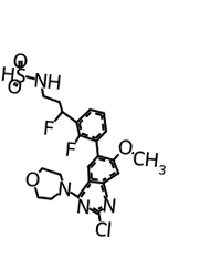 COc1cc2nc(Cl)nc(N3CCOCC3)c2cc1-c1cccc(C(F)CCN[SH](=O)=O)c1F